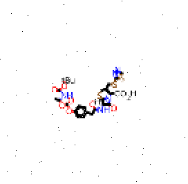 CC(NC(=O)OC(C)(C)C)OC(=O)Oc1ccc(CC(=O)NC2C(=O)N3C(C(=O)O)=C(CSc4nncs4)CS[C@@H]23)cc1